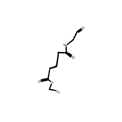 O=CCNC(=O)CCCC(=O)OCCl